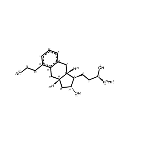 CCCCC[C@H](O)CC[C@@H]1[C@H]2Cc3cccc(CCC#N)c3C[C@H]2C[C@H]1O